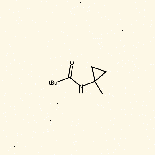 CC1(NC(=O)C(C)(C)C)CC1